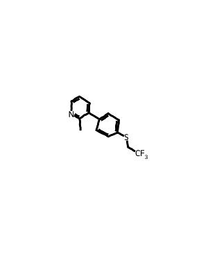 Cc1ncccc1-c1ccc(SCC(F)(F)F)cc1